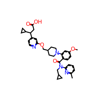 COc1ccc(C(=O)N(CC2CC2)c2cccc(C)n2)c(N2CCC(COc3cc(C(CC(=O)O)C4CC4)ccn3)CC2)c1